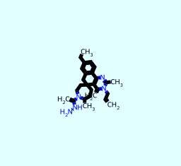 C=CCN1C(=C)C2=C(N=C1C)c1ccc(CC)cc1CC21CCC(C)N(C(=C)NN)CC1